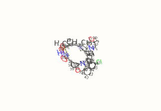 CCC[C@]1(CN2CCC3(CCO3)CC2)/C=C/C[C@H](C)[C@@H](C)S(=O)(=O)NC(=O)c2ccc3c(c2)N(C[C@@H]2CC[C@H]21)C[C@@]1(CCCc2cc(Cl)ccc21)CO3